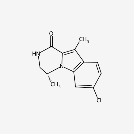 Cc1c2n(c3cc(Cl)ccc13)[C@H](C)CNC2=O